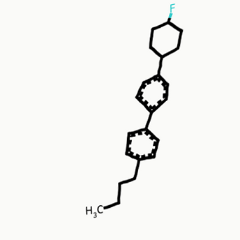 CCCCc1ccc(-c2ccc(C3CCC(F)CC3)cc2)cc1